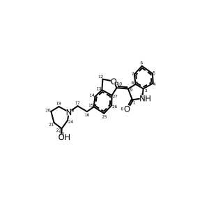 O=C1Nc2ccccc2/C1=C1\OCc2cc(CCN3CCCC(O)C3)ccc21